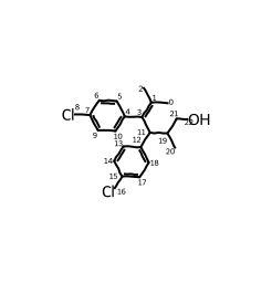 CC(C)=C(c1ccc(Cl)cc1)C(c1ccc(Cl)cc1)C(C)CO